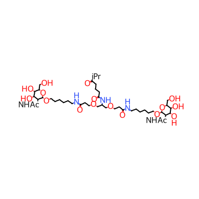 CC(=O)NC1C(OCCCCCCNC(=O)CCOCC(COCCC(=O)NCCCCCCOC2OC(CO)C(O)C(O)C2NC(C)=O)NC(=O)CCCC(=O)C(C)C)OC(CO)C(O)C1O